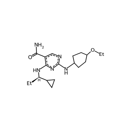 CCOC1CCC(Nc2ncc(C(N)=O)c(N[C@H](CC)C3CC3)n2)CC1